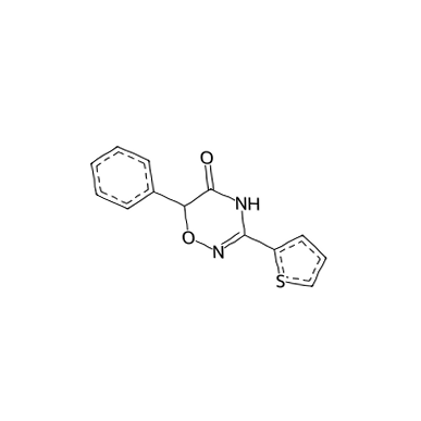 O=C1NC(c2cccs2)=NOC1c1ccccc1